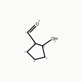 O=[C]C1CCCC1O